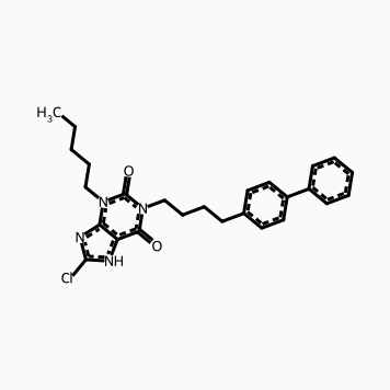 CCCCCn1c(=O)n(CCCCc2ccc(-c3ccccc3)cc2)c(=O)c2[nH]c(Cl)nc21